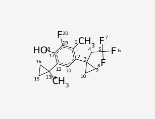 Cc1c(C2(CC(F)(F)F)CC2)cc(C2(C)CC2)c(O)c1F